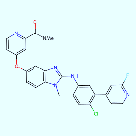 CNC(=O)c1cc(Oc2ccc3c(c2)nc(Nc2ccc(Cl)c(-c4ccnc(F)c4)c2)n3C)ccn1